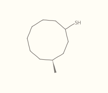 C[C@H]1CCCCCCC(S)CC1